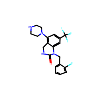 O=C1NCc2c(N3CCNCC3)cc(C(F)(F)F)cc2N1Cc1ccccc1F